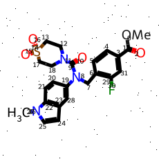 COC(=O)c1ccc(CN(C(=O)N2CCS(=O)(=O)CC2)c2ccc3c(ccn3C)c2)c(F)c1